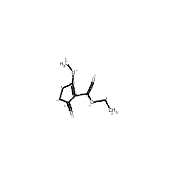 CCOC(=O)C1=C(OC)CCC1=O